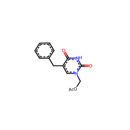 CC(=O)OCn1cc(Cc2ccccc2)c(=O)[nH]c1=O